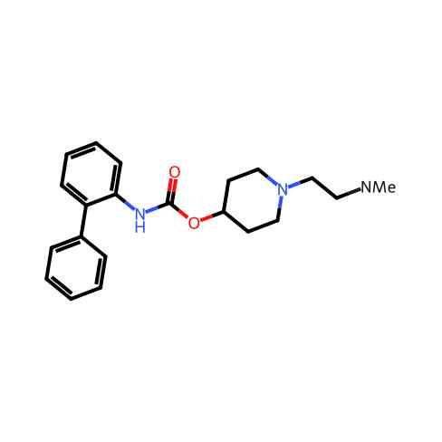 CNCCN1CCC(OC(=O)Nc2ccccc2-c2ccccc2)CC1